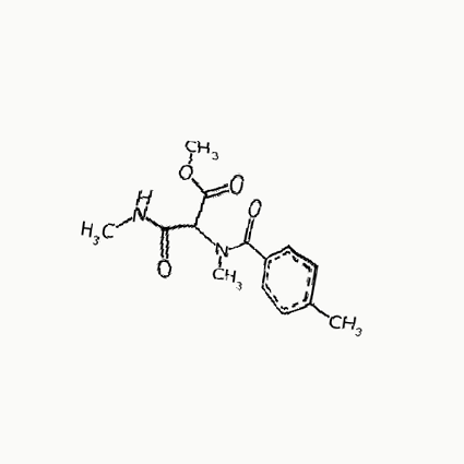 CNC(=O)C(C(=O)OC)N(C)C(=O)c1ccc(C)cc1